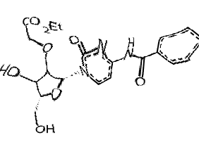 CCOC(=O)COC1C(O)[C@@H](CO)O[C@H]1n1ccc(NC(=O)c2ccccc2)nc1=O